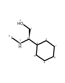 OC[C@H](NI)C1CCCCC1